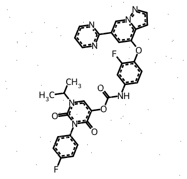 CC(C)n1cc(OC(=O)Nc2ccc(Oc3cc(-c4ncccn4)cn4nccc34)c(F)c2)c(=O)n(-c2ccc(F)cc2)c1=O